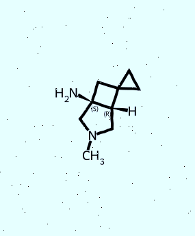 CN1C[C@H]2C3(CC3)C[C@@]2(N)C1